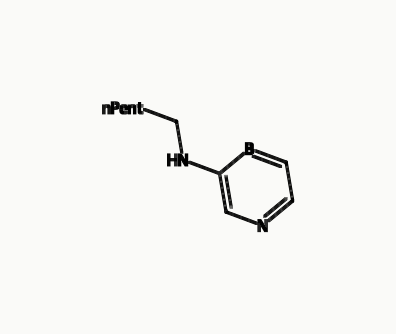 CCCCCCNc1bccnc1